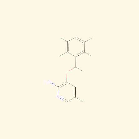 CC(Oc1cc(Br)cnc1N)c1c(Cl)c(F)cc(F)c1Cl